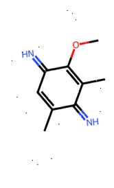 COC1=C(C)C(=N)C(C)=CC1=N